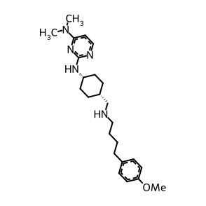 COc1ccc(CCCCNC[C@H]2CC[C@@H](Nc3nccc(N(C)C)n3)CC2)cc1